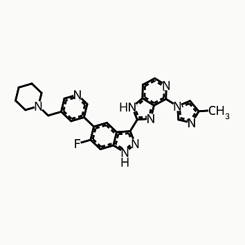 Cc1cn(-c2nccc3[nH]c(-c4n[nH]c5cc(F)c(-c6cncc(CN7CCCCC7)c6)cc45)nc23)cn1